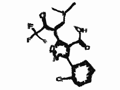 CN(C)C=C(C(=O)C(F)(F)F)c1onc(-c2ccccc2Cl)c1C(=O)O